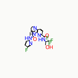 O=C(NC(CO)C(F)(F)F)c1ccc2c(n1)N(C(=O)Nc1ccc(F)cn1)[C@H]1CCN2C1